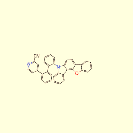 N#Cc1cc(-c2ccccc2-c2ccccc2-n2c3ccccc3c3c4oc5ccccc5c4ccc32)ccn1